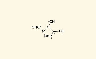 O=CC1C=CC(O)C1O